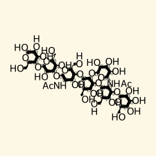 CC(=O)N[C@H]1[C@H](O[C@H]2[C@@H](O)[C@@H](CO)O[C@@H](O[C@H]3[C@H](O)[C@@H](O)[C@H](O)O[C@@H]3CO)[C@@H]2O)O[C@H](CO)[C@@H](O[C@@H]2O[C@H](CO)[C@H](O)[C@H](O[C@H]3O[C@H](CO)[C@H](O)[C@H](O[C@@H]4O[C@H](CO)[C@H](O)[C@H](O)[C@H]4O)[C@H]3NC(C)=O)[C@H]2O[C@@H]2O[C@@H](C)[C@@H](O)[C@@H](O)[C@@H]2O)[C@@H]1O